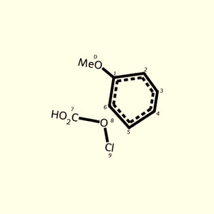 COc1ccccc1.O=C(O)OCl